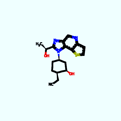 C[C@@H](O)c1nc2cnc3ccsc3c2n1[C@H]1CC[C@H](CC#N)[C@@H](O)C1